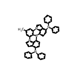 Cc1cc2c3c(c1)-n1ccc4c(N(c5ccccc5)c5ccccc5)ccc(c41)B3c1ccc(N(c3ccccc3)c3ccccc3)c3ccn-2c13